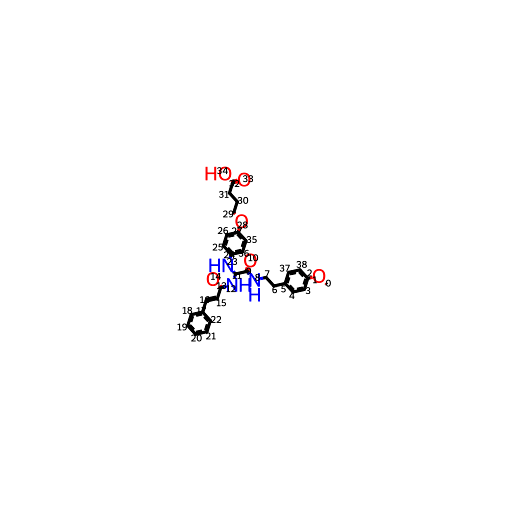 COc1ccc(CCNC(=O)C(NC(=O)C=Cc2ccccc2)Nc2ccc(OCCCC(=O)O)cc2)cc1